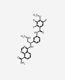 CNCC(Nc1ncnc2c(C(N)=O)cccc12)c1cccc(NC(=O)c2cc(F)c(OC)c(F)c2F)c1